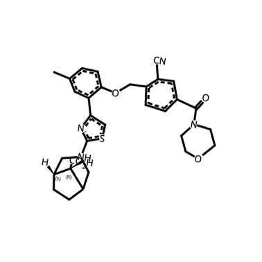 Cc1ccc(OCc2ccc(C(=O)N3CCOCC3)cc2C#N)c(-c2csc(N3CC4CC[C@H](C3)[C@@H]4C(=O)O)n2)c1